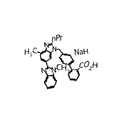 CCCc1nc2c(C)cc(-c3nc4ccccc4n3C)cc2n1Cc1ccc(-c2ccccc2C(=O)O)cc1.[NaH]